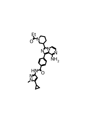 CCC(=O)N1CCCC(c2nc(-c3ccc(C(=O)Nc4cc(C5CC5)n(C)n4)cc3)c3c(N)nccn23)C1